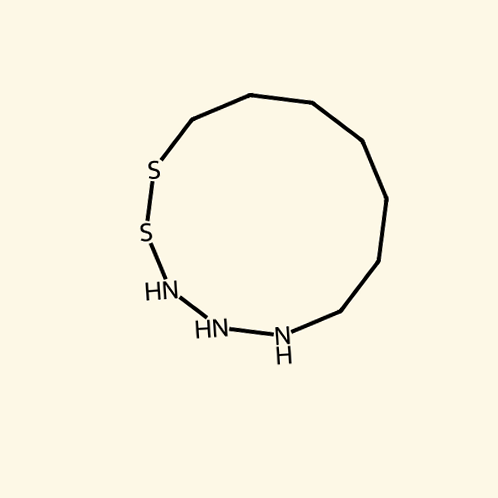 C1CCCNNNSSCCC1